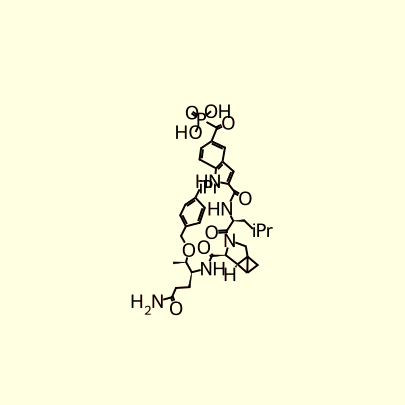 CC(C)C[C@H](NC(=O)c1cc2cc(C(=O)P(=O)(O)O)ccc2[nH]1)C(=O)N1CC23CC2[C@H]3[C@H]1C(=O)N[C@@H](CCC(N)=O)[C@@H](C)OCc1ccc(C(C)C)cc1